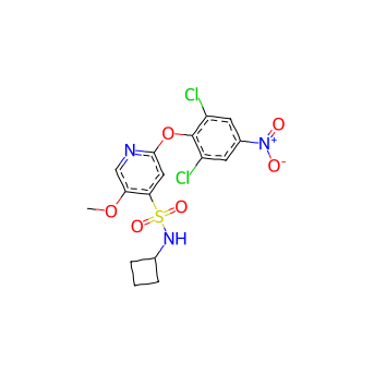 COc1cnc(Oc2c(Cl)cc([N+](=O)[O-])cc2Cl)cc1S(=O)(=O)NC1CCC1